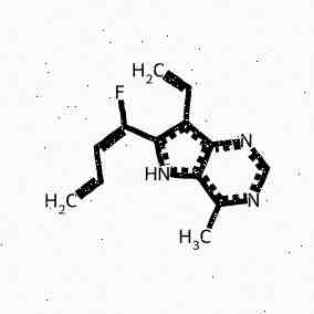 C=C/C=C(/F)c1[nH]c2c(C)ncnc2c1C=C